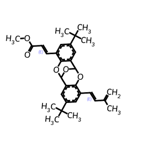 C=C(C)/C=C/c1cc(C(C)(C)C)cc2c1OC1OC2Oc2c(/C=C/C(=O)OC)cc(C(C)(C)C)cc21